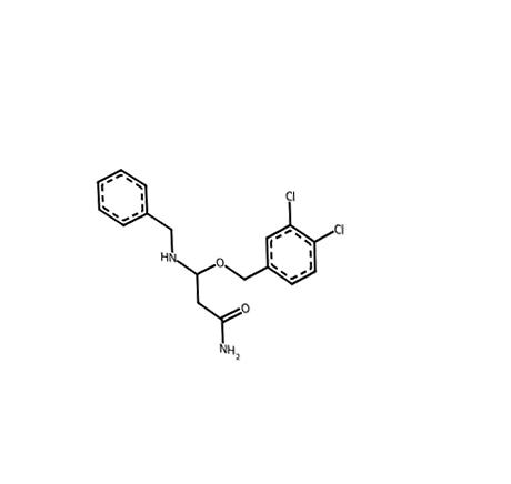 NC(=O)CC(NCc1ccccc1)OCc1ccc(Cl)c(Cl)c1